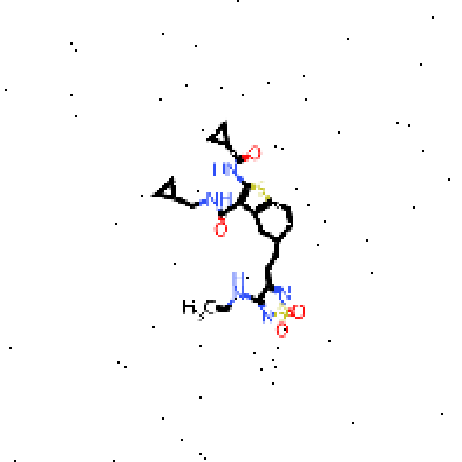 CCNC1=NS(=O)(=O)N=C1CCC1CCc2sc(NC(=O)C3CC3)c(C(=O)NCC3CC3)c2C1